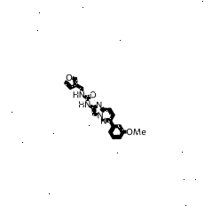 COc1cccc(-c2ccc3nc(NC(=O)NCc4ccoc4)cn3n2)c1